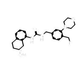 O=C(NCc1ccc(CF)c(N2CCOCC2)c1)Nc1cccc2c1C[C@H](O)CC2